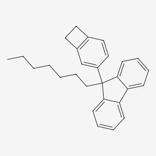 CCCCCCCC1(c2ccc3c(c2)CC3)c2ccccc2-c2ccccc21